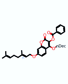 CCCCCCCCCCOc1c(OC(=O)c2ccccc2)c(=O)oc2cc(OC/C=C(\C)CCC=C(C)C)ccc12